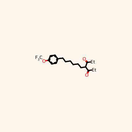 CCC(=O)C(CCCCCCc1ccc(OC(F)(F)F)cc1)C(=O)CC